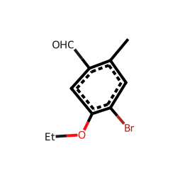 CCOc1cc(C=O)c(C)cc1Br